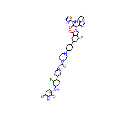 O=C1CC[C@H](NC2CCC(C3CCN(CC(=O)N4CCCN(C5CCC(C6CC(F)C7CN(C(C(=O)Nc8nccs8)c8ncn9c8CCC9)C(=O)C7C6)CC5)CC4)CC3)C(F)C2)C(=O)N1